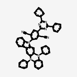 N#Cc1cc(-n2c3ccccc3c3cc4c(cc32)N(c2ccccc2)c2ccccc2N4c2ccccc2)c(C#N)cc1-c1nc(-c2ccccc2)nc(-c2ccccc2)n1